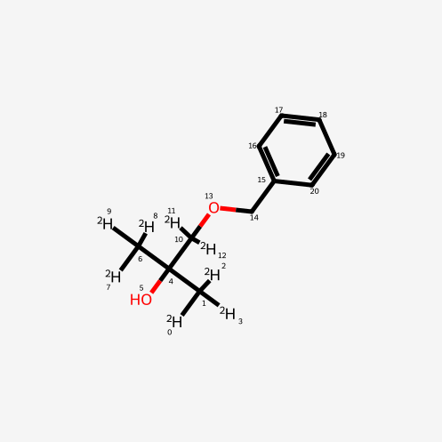 [2H]C([2H])([2H])C(O)(C([2H])([2H])[2H])C([2H])([2H])OCc1ccccc1